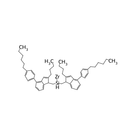 CCCCCCc1ccc(-c2cccc3c2C=C(CCCC)C3C[SiH]([Zr])CC2C(CCCC)=Cc3c(-c4ccc(CCCCCC)cc4)cccc32)cc1